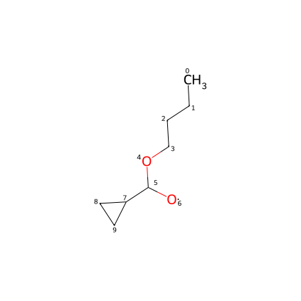 CCCCOC([O])C1CC1